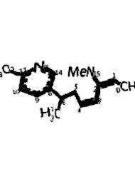 C/C=C(\C=C/CC(C)c1ccc(C)nc1)NC